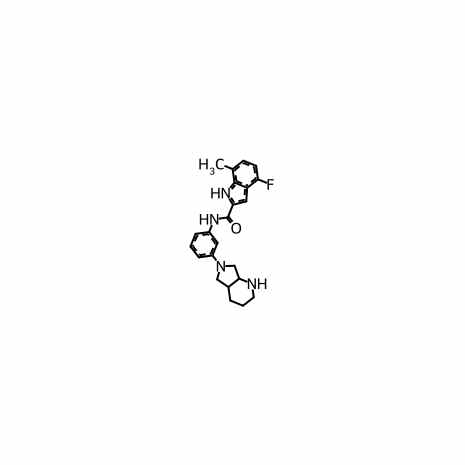 Cc1ccc(F)c2cc(C(=O)Nc3cccc(N4CC5CCCNC5C4)c3)[nH]c12